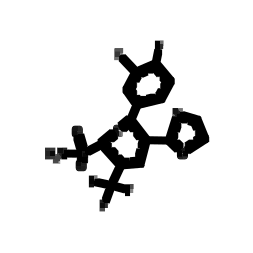 NS(=O)(=O)c1cc(-c2ccc(F)c(F)c2)c(-c2ncco2)cc1C(F)(F)F